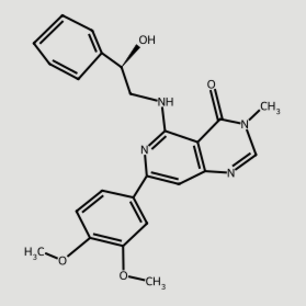 COc1ccc(-c2cc3ncn(C)c(=O)c3c(NC[C@H](O)c3ccccc3)n2)cc1OC